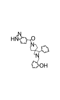 O=C(c1ccc2[nH]cnc2c1)N1CCC2(CC1)CN(Cc1ccccc1O)C2c1ccccc1